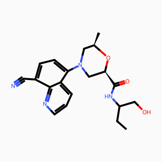 CCC(CO)NC(=O)[C@H]1CN(c2ccc(C#N)c3ncccc23)C[C@@H](C)O1